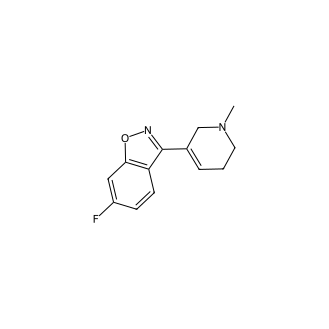 CN1CCC=C(c2noc3cc(F)ccc23)C1